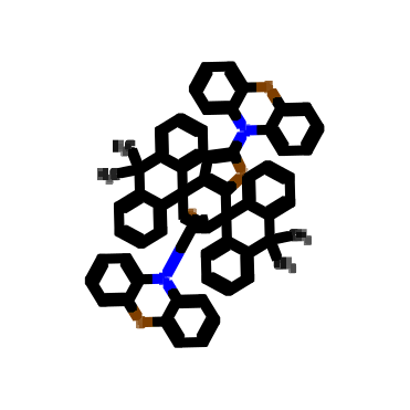 CC1(C)c2ccccc2C2(c3ccccc31)c1cc(N3c4ccccc4Sc4ccccc43)sc1C1(c3ccccc3C(C)(C)c3ccccc31)c1cc(N3c4ccccc4Sc4ccccc43)sc12